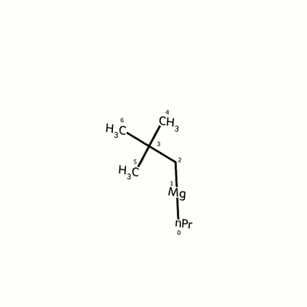 CC[CH2][Mg][CH2]C(C)(C)C